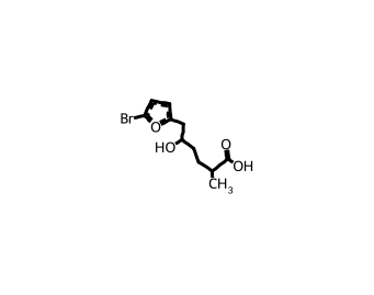 CC(CCC(O)Cc1ccc(Br)o1)C(=O)O